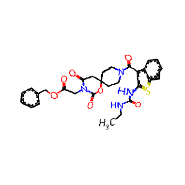 CCNC(=O)Nc1sc2ccccc2c1C(=O)N1CCC2(CC1)CC(=O)N(CC(=O)OCc1ccccc1)C(=O)O2